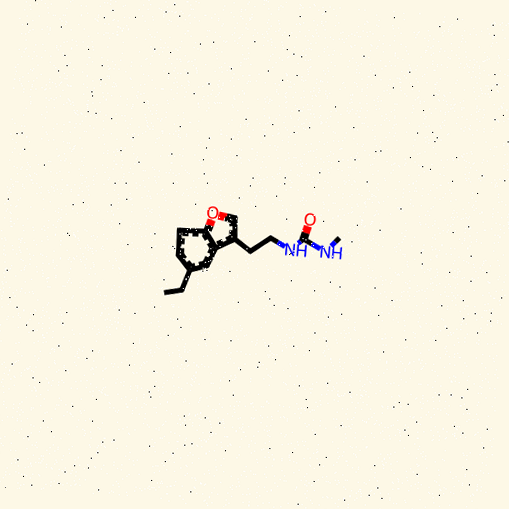 CCc1ccc2occ(CCNC(=O)NC)c2c1